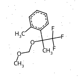 COCOC(C)(c1ccccc1C)C(F)(F)F